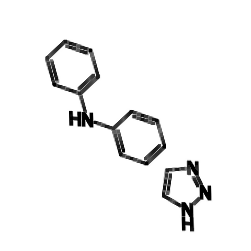 c1c[nH]nn1.c1ccc(Nc2ccccc2)cc1